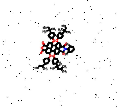 C=C(C)CC(C)(C)c1ccc(Oc2cc3c4c(cc(Oc5ccc(C(C)(C)CC(C)(C)C)cc5)c5c6c(Oc7ccc(C(C)(C)CC(C)(C)C)cc7)cc7c8c(cc(Oc9ccc(/C(C)=C/C(C)(C)C)cc9)c(c2c45)c86)C(=O)OC7=O)C(=O)N(c2c(C(C)C)cccc2C(C)C)C3=O)cc1